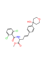 COC(=O)C(C/C=C/c1ccc(C2(O)CCOCC2)cc1)NC(=O)c1c(Cl)cccc1Cl